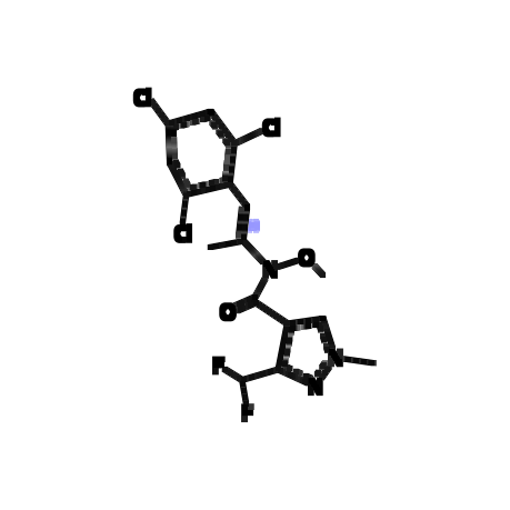 CON(C(=O)c1cn(C)nc1C(F)F)/C(C)=C/c1c(Cl)cc(Cl)cc1Cl